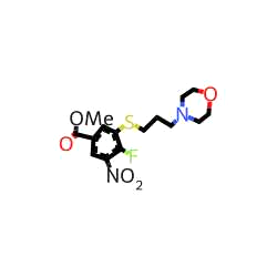 COC(=O)c1cc(SCCCN2CCOCC2)c(F)c([N+](=O)[O-])c1